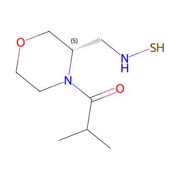 CC(C)C(=O)N1CCOC[C@@H]1CNS